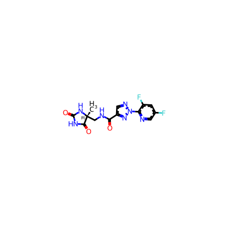 C[C@]1(CNC(=O)c2cnn(-c3ncc(F)cc3F)n2)NC(=O)NC1=O